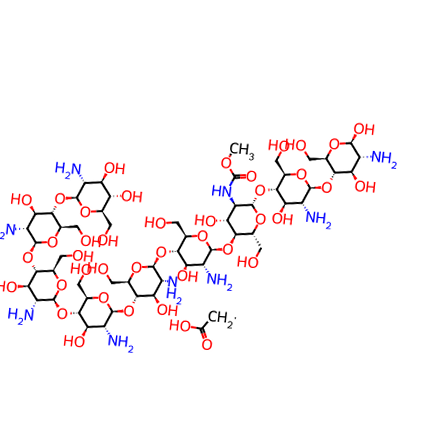 COC(=O)N[C@H]1[C@H](O[C@H]2[C@H](O)[C@@H](N)[C@H](O[C@H]3[C@H](O)[C@@H](N)[C@H](O)O[C@@H]3CO)O[C@@H]2CO)O[C@H](CO)[C@@H](O[C@@H]2O[C@H](CO)[C@@H](O[C@@H]3O[C@H](CO)[C@@H](O[C@@H]4O[C@H](CO)[C@@H](O[C@@H]5O[C@H](CO)[C@@H](O[C@@H]6O[C@H](CO)[C@@H](O[C@@H]7O[C@H](CO)[C@@H](O)[C@H](O)[C@H]7N)[C@H](O)[C@H]6N)[C@H](O)[C@H]5N)[C@H](O)[C@H]4N)[C@H](O)[C@H]3N)[C@H](O)[C@H]2N)[C@@H]1O.[CH2]C(=O)O